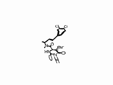 CC(CCc1ccc(Cl)c(Cl)c1)N(C)C(=O)C1NC(=O)NC(=O)[C@@H]1Br